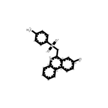 Cc1ccc(S(=O)(=O)Cc2nc3ccccc3c3ccc(Cl)cc23)cc1